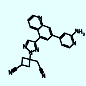 N#CCC1(n2ncc(-c3cc(-c4ccnc(N)c4)cc4ncccc34)n2)CC(C#N)C1